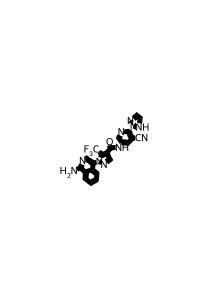 N#Cc1cc(NC(=O)c2cnn(-c3cnc(N)c4ccccc34)c2C(F)(F)F)cnc1N1N=CCN1